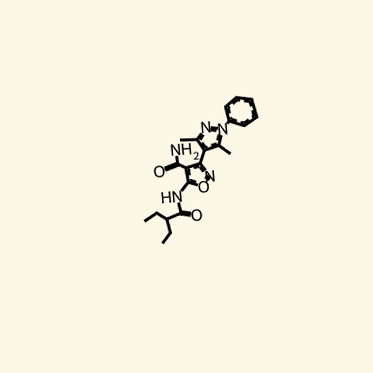 CCC(CC)C(=O)Nc1onc(-c2c(C)nn(-c3ccccc3)c2C)c1C(N)=O